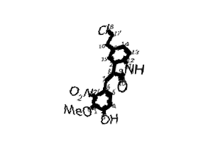 COc1c(O)ccc(C=C2C(=O)Nc3ccc(CCCl)cc32)c1[N+](=O)[O-]